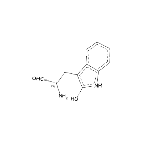 N[C@H](C=O)Cc1c(O)[nH]c2ccccc12